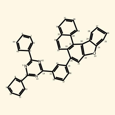 c1ccc(-c2nc(-c3ccccc3)nc(-c3cccc(-c4cc5oc6ccccc6c5c5c4ccc4ccccc45)c3)n2)cc1